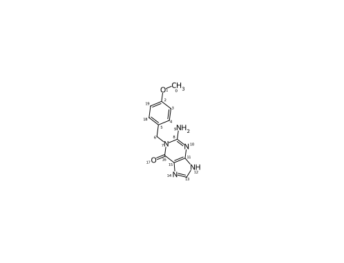 COc1ccc(Cn2c(N)nc3[nH]cnc3c2=O)cc1